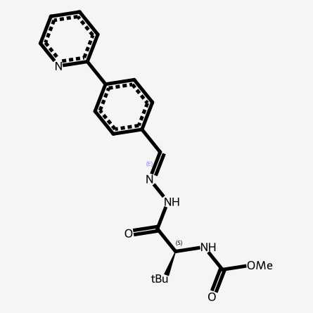 COC(=O)N[C@H](C(=O)N/N=C/c1ccc(-c2ccccn2)cc1)C(C)(C)C